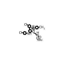 Cc1ccc(S(=O)(=O)n2c3ccc(Cl)cc3c3cc(Nc4ccc(Cl)cc4)cc(OCCCNC(=O)OC(C)(C)C)c32)cc1